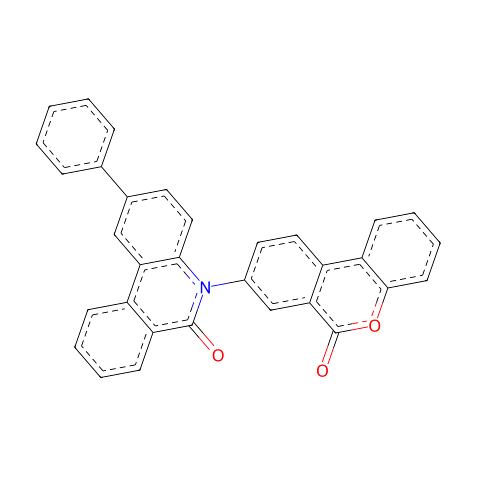 O=c1oc2ccccc2c2ccc(-n3c(=O)c4ccccc4c4cc(-c5ccccc5)ccc43)cc12